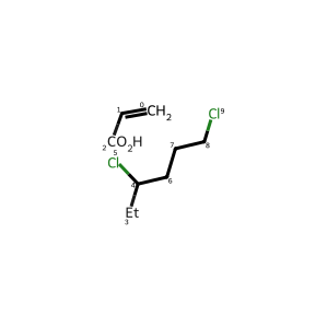 C=CC(=O)O.CCC(Cl)CCCCl